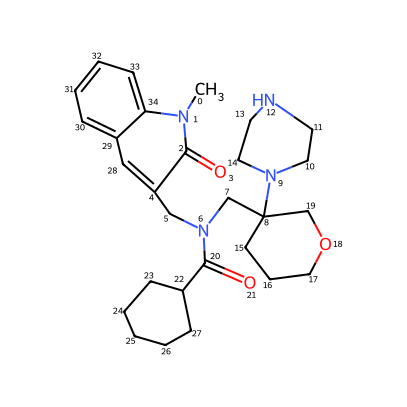 Cn1c(=O)c(CN(CC2(N3CCNCC3)CCCOC2)C(=O)C2CCCCC2)cc2ccccc21